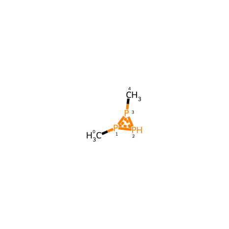 Cp1[pH]p1C